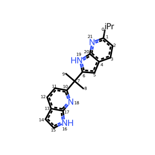 CC(C)c1ccc2cc(C(C)(C)c3ccc4cc[nH]c4n3)[nH]c2n1